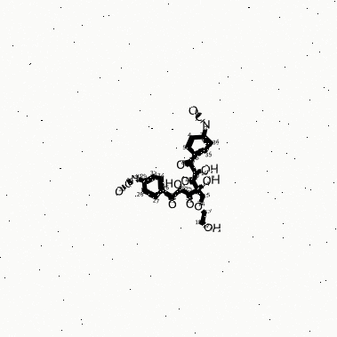 O=C=Nc1ccc(C(=O)C(O)C(=O)C(O)(COCCO)C(=O)C(O)C(=O)c2ccc(N=C=O)cc2)cc1